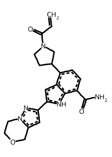 C=CC(=O)N1CCC(c2ccc(C(N)=O)c3[nH]c(-c4cc5n(n4)CCOC5)cc23)C1